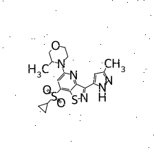 Cc1cc(-c2nsc3c(S(=O)(=O)C4CC4)cc(N4CCOCC4C)nc23)[nH]n1